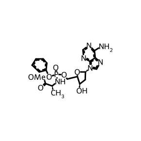 COC(=O)[C@H](C)NP(=O)(OCC1O[C@@H](n2cnc3c(N)ncnc32)C[C@H]1O)Oc1ccccc1